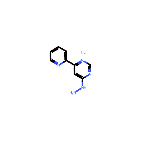 Cl.NNc1cc(-c2ccccn2)ncn1